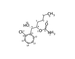 CCCCC(OC(N)=O)[C@@H](O)c1ccccc1Cl